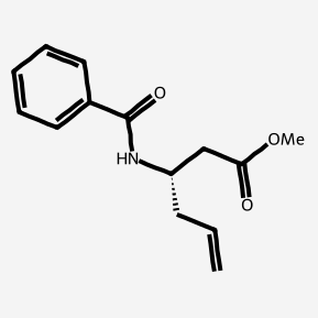 C=CC[C@@H](CC(=O)OC)NC(=O)c1ccccc1